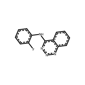 Fc1ccccc1Nc1nnnc2ccccc12